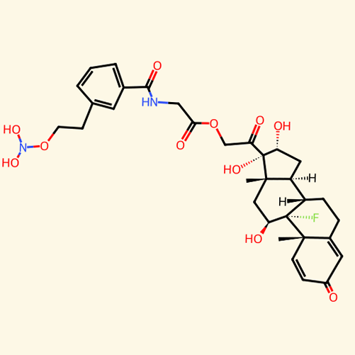 C[C@]12C=CC(=O)C=C1CC[C@H]1[C@@H]3C[C@@H](O)[C@](O)(C(=O)COC(=O)CNC(=O)c4cccc(CCON(O)O)c4)[C@@]3(C)C[C@H](O)[C@@]12F